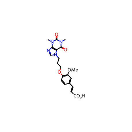 COc1cc(/C=C/C(=O)O)ccc1OCCCn1cnc2c1c(=O)n(C)c(=O)n2C